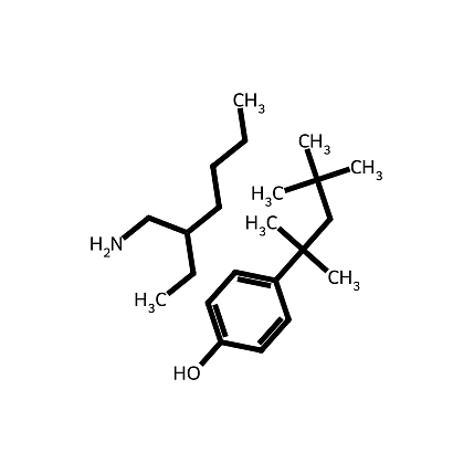 CC(C)(C)CC(C)(C)c1ccc(O)cc1.CCCCC(CC)CN